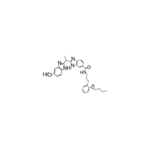 CCCCOc1ccccc1CCCNC(=O)c1ccc2nc(C(C)c3nc4cc(O)ccc4[nH]3)n(C)c2c1